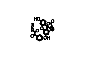 O=C(N=C=S)C(=O)c1ccccc1.O=C1OC2(c3ccc(O)cc3Oc3cc(O)ccc32)c2ccccc21